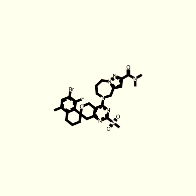 Cc1cc(Br)c(F)c2c1CCCC21Cc2nc(S(C)(=O)=O)nc(N3CCCn4nc(C(=O)N(C)C)cc4C3)c2CO1